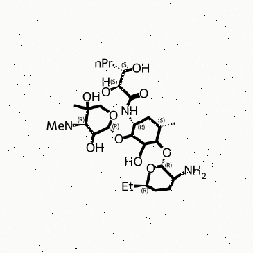 CCC[C@H](O)[C@H](O)C(=O)N[C@@H]1C[C@H](C)C(O[C@H]2O[C@H](CC)CCC2N)C(O)C1O[C@H]1OCC(C)(O)[C@H](NC)C1O